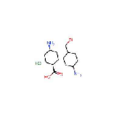 Cl.NC1CCC(CO)CC1.N[C@H]1CC[C@@H](C(=O)O)CC1